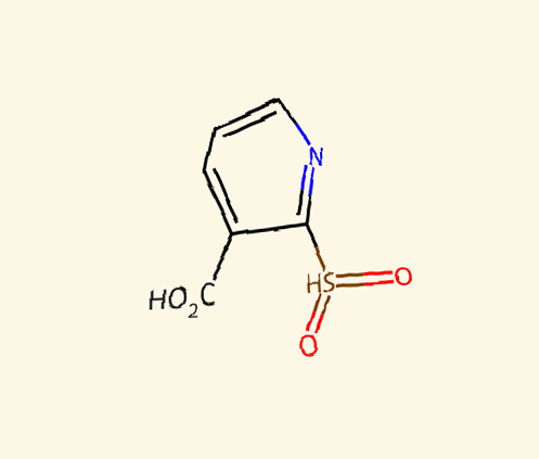 O=C(O)c1cccnc1[SH](=O)=O